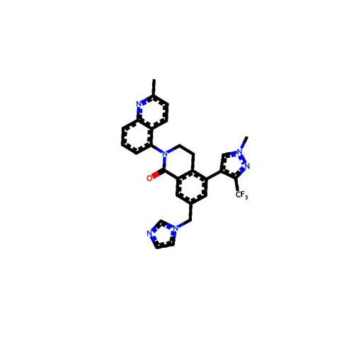 Cc1ccc2c(N3CCc4c(cc(Cn5ccnc5)cc4-c4cn(C)nc4C(F)(F)F)C3=O)cccc2n1